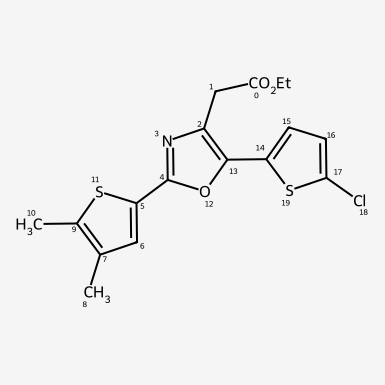 CCOC(=O)Cc1nc(-c2cc(C)c(C)s2)oc1-c1ccc(Cl)s1